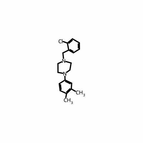 Cc1ccc(N2CCN(Cc3ccccc3Cl)CC2)cc1C